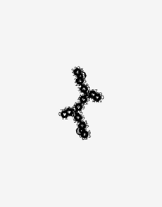 c1ccc2cc(N(c3ccc(-c4ccc(N(c5ccc(-c6ccc7c(c6)oc6ccccc67)cc5)c5ccc6ccccc6c5)cc4)cc3)c3ccc(-c4ccc5c(c4)oc4ccccc45)cc3)ccc2c1